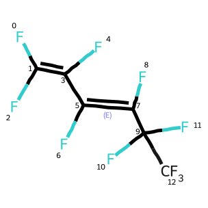 FC(F)=C(F)/C(F)=C(\F)C(F)(F)C(F)(F)F